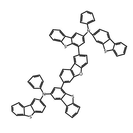 c1ccc(N(c2ccc3c(c2)sc2ccccc23)c2cc(-c3ccc4oc5cc(-c6cc(N(c7ccccc7)c7ccc8sc9ccccc9c8c7)cc7c6sc6ccccc67)ccc5c4c3)c3sc4ccccc4c3c2)cc1